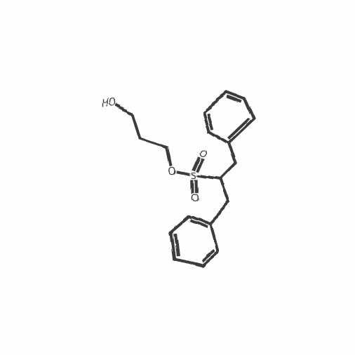 O=S(=O)(OCCCO)C(Cc1ccccc1)Cc1ccccc1